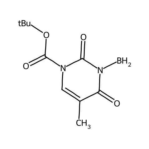 Bn1c(=O)c(C)cn(C(=O)OC(C)(C)C)c1=O